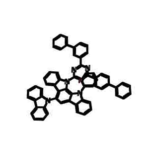 c1ccc(-c2ccc(-c3nc(-c4cccc(-c5ccccc5)c4)nc(-n4c5ccccc5c5c(-n6c7ccccc7c7ccccc76)cc6c7ccccc7n(-c7ccccc7)c6c54)n3)cc2)cc1